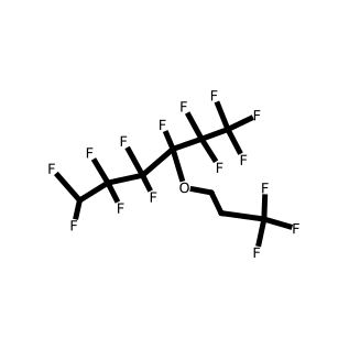 FC(F)C(F)(F)C(F)(F)C(F)(OCCC(F)(F)F)C(F)(F)C(F)(F)F